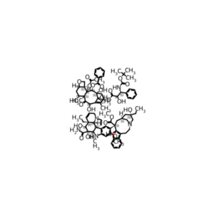 CC(=O)O[C@@]12CO[C@@H]1C[C@H](O)[C@@]1(C)C(=O)[C@H](O)C3=C(C)[C@@H](OC(=O)[C@H](O)[C@@H](NC(=O)OC(C)(C)C)c4ccccc4)C[C@@](O)([C@@H](OC(=O)c4ccccc4)[C@H]21)C3(C)C.CC[C@]1(O)C[C@H]2C[N@](CCc3c([nH]c4ccccc34)[C@@](C(=O)OC)(c3cc4c(cc3OC)N(C)[C@H]3[C@@](O)(C(N)=O)[C@H](O)[C@]5(CC)C=CCN6CC[C@]43[C@@H]65)C2)C1